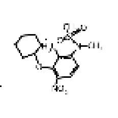 Cc1c(N(C)S(C)(=O)=O)ccc([N+](=O)[O-])c1OC1CCCCC1